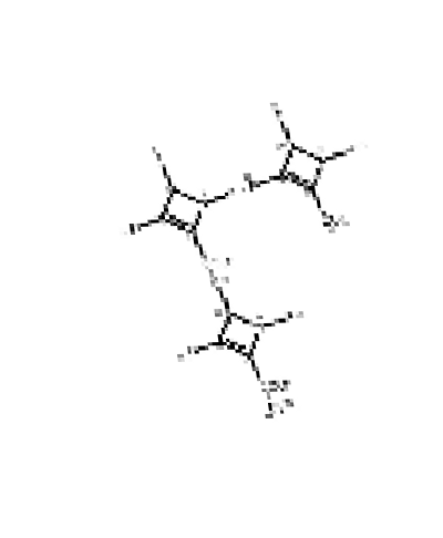 O=C([O-])C1=C(F)C(F)N1F.O=C([O-])C1=C(F)C(F)N1F.O=C([O-])C1=C(F)C(F)N1F.[Dy+3]